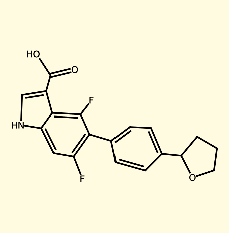 O=C(O)c1c[nH]c2cc(F)c(-c3ccc(C4CCCO4)cc3)c(F)c12